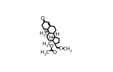 C=C=C[C@]1(OC(C)=O)CC[C@H]2[C@@H]3CCC4=CC(=O)CC[C@@H]4[C@@]3(C)CC[C@@]21C